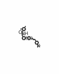 Cc1ccc(C(=O)NCc2cccc(N3CCN(CC=Cc4ccc(N(C)C)cc4)CC3)c2)c(C)c1